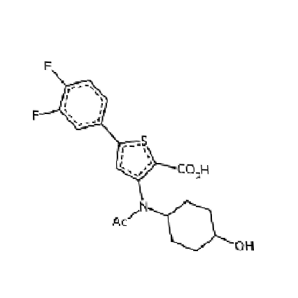 CC(=O)N(c1cc(-c2ccc(F)c(F)c2)sc1C(=O)O)C1CCC(O)CC1